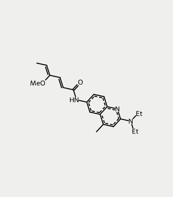 C/C=C(/C=C/C(=O)Nc1ccc2nc(N(CC)CC)cc(C)c2c1)OC